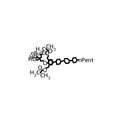 C=C(C)C(=O)OCCc1cc(C2CCC(C3CCC(C4CCC(CCCCC)CC4)CC3)CC2)cc(CCOC(=O)C(=C)C)c1OCCC(CO)(CO)CC(CC)CCCC